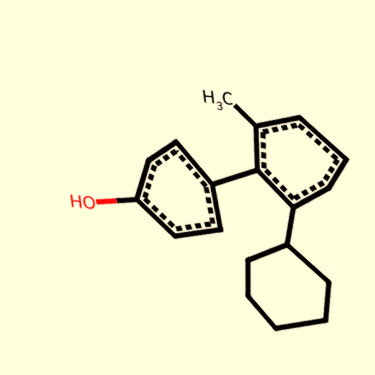 Cc1cccc(C2CCCCC2)c1-c1ccc(O)cc1